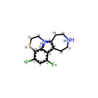 Fc1cc(F)c2c3c(n4c2c1SCC4)CCNCC3